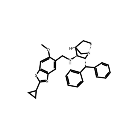 COc1cc2sc(C3CC3)nc2cc1CN[C@H]1[C@H]2CC[N@@](C2)[C@@H]1C(c1ccccc1)c1ccccc1